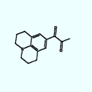 CC(=O)C(=O)c1cc2c3c(c1)CCCN3CCC2